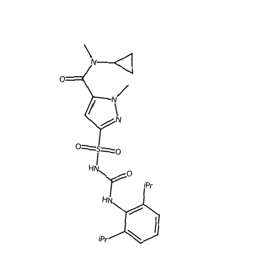 CC(C)c1cccc(C(C)C)c1NC(=O)NS(=O)(=O)c1cc(C(=O)N(C)C2CC2)n(C)n1